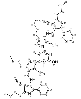 CCCCc1nn(-c2ccccn2)c(N=Nc2c(CCCC)nn(C3NC(O)NC(n4nc(CCCC)c(N=Nc5c(C#N)c(CCCC)nn5-c5ccccn5)c4N)N3C)c2N)c1C#N